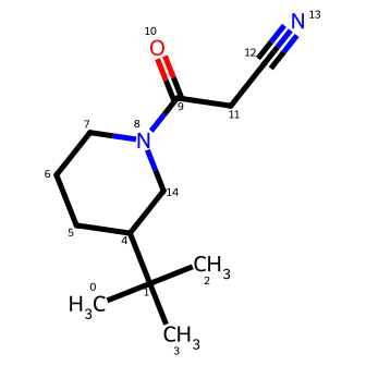 CC(C)(C)C1CCCN(C(=O)CC#N)C1